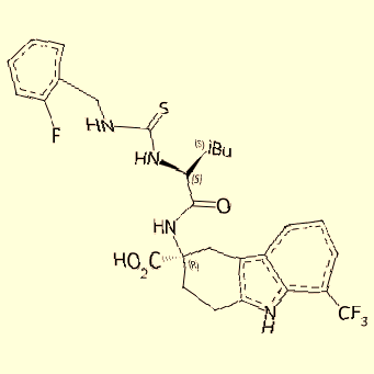 CC[C@H](C)[C@H](NC(=S)NCc1ccccc1F)C(=O)N[C@]1(C(=O)O)CCc2[nH]c3c(C(F)(F)F)cccc3c2C1